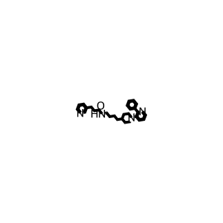 O=C(CCc1cccnc1)NCCCCC1CCN(c2cccnc2-c2ccccc2)CC1